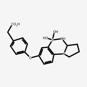 O=C(O)Cc1ccc(Oc2ccc3c(c2)S(O)(O)NC2CCCN32)cc1